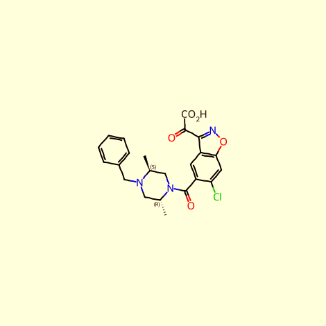 C[C@@H]1CN(Cc2ccccc2)[C@@H](C)CN1C(=O)c1cc2c(C(=O)C(=O)O)noc2cc1Cl